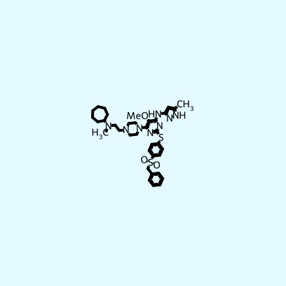 COc1c(Nc2cc(C)[nH]n2)nc(Sc2ccc(S(=O)(=O)Cc3ccccc3)cc2)nc1N1CCN(CCN(C)C2CCCCCC2)CC1